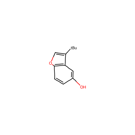 CC(C)(C)c1coc2ccc(O)cc12